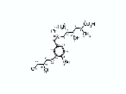 CC(C[C@H](O)[C@@H](N)C[C@H](Cc1ccc(C(C)(C)C)c(OC[C@@H](O)CCl)c1)C(C)C)C(=O)O